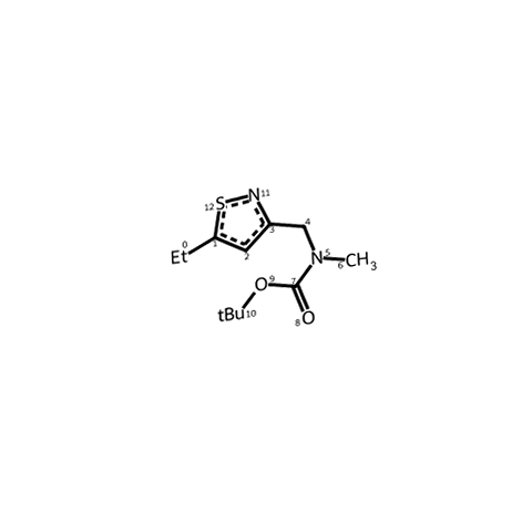 CCc1cc(CN(C)C(=O)OC(C)(C)C)ns1